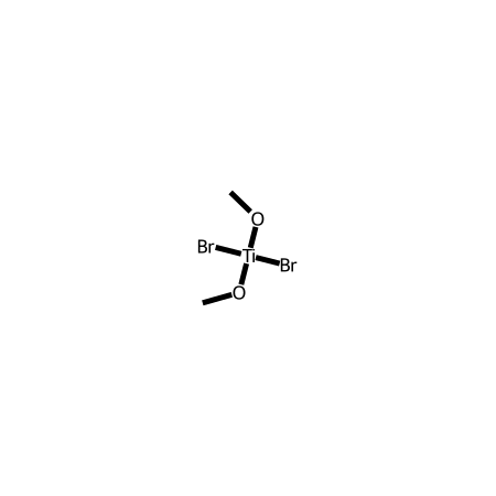 C[O][Ti]([Br])([Br])[O]C